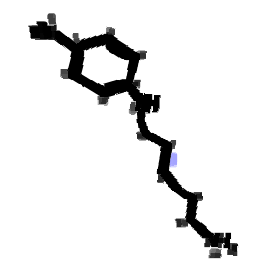 CCCCc1ccc(NC/C=C/CCN)cc1